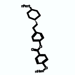 CCCCCCOc1ccc(C(=O)Oc2ccc(CC[C@H]3CC[C@H](CCCCC)CC3)cc2)cc1